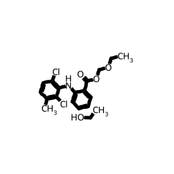 CCO.CCOCOC(=O)c1ccccc1Nc1c(Cl)ccc(C)c1Cl